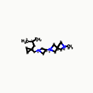 CC(C)CC1(CN2CC(N3CC4(CN(C)C4)C3)C2)CC1